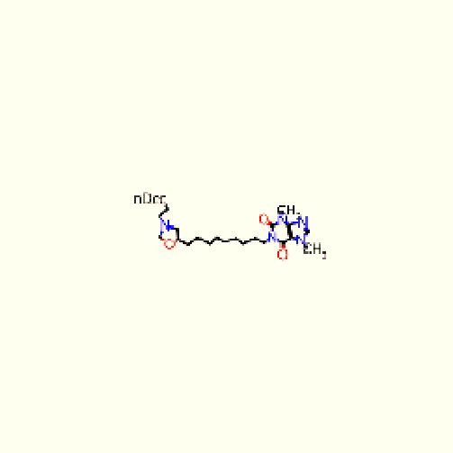 CCCCCCCCCCCCN1COC(CCCCCCCCCn2c(=O)c3c(ncn3C)n(C)c2=O)C1